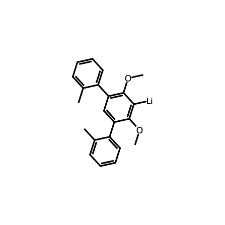 [Li][c]1c(OC)c(-c2ccccc2C)cc(-c2ccccc2C)c1OC